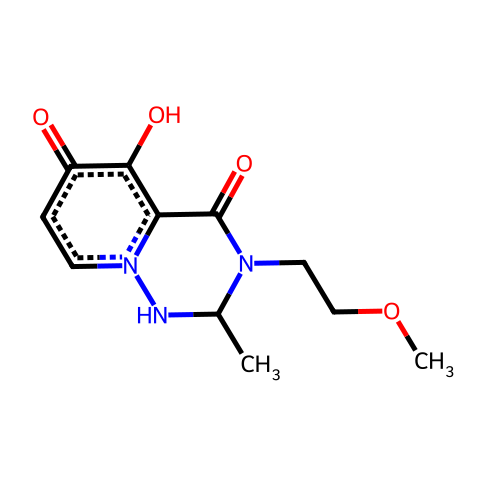 COCCN1C(=O)c2c(O)c(=O)ccn2NC1C